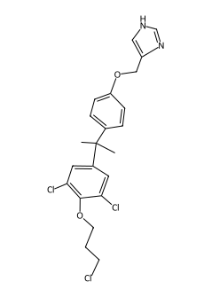 CC(C)(c1ccc(OCc2c[nH]cn2)cc1)c1cc(Cl)c(OCCCCl)c(Cl)c1